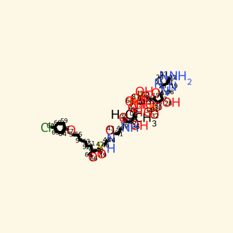 CC(C)(COP(=O)(O)OP(=O)(O)OC[C@H]1O[C@@H](n2cnc3c(N)ncnc32)[C@H](O)[C@@H]1OP(=O)(O)O)[C@@H](O)C(=O)NCCC(=O)NCCSC(=O)C1(CCCCCCOc2ccc(Cl)cc2)CO1